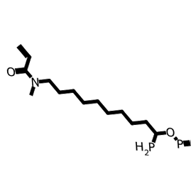 C=CC(=O)N(C)CCCCCCCCCC(P)OP=O